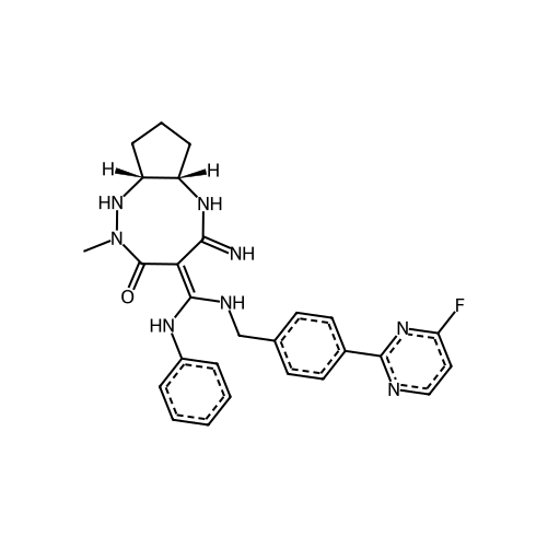 CN1N[C@@H]2CCC[C@@H]2NC(=N)/C(=C(\NCc2ccc(-c3nccc(F)n3)cc2)Nc2ccccc2)C1=O